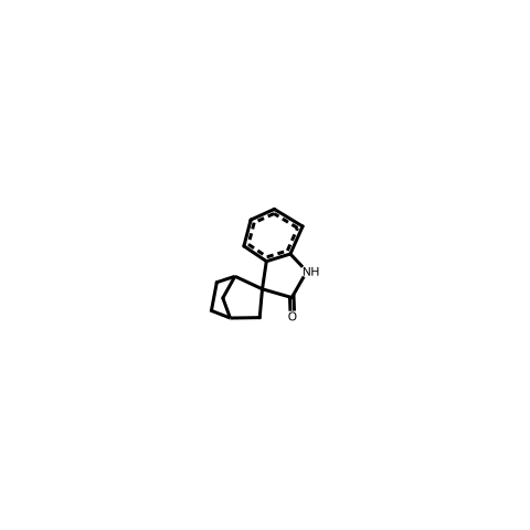 O=C1Nc2ccccc2C12CC1CCC2C1